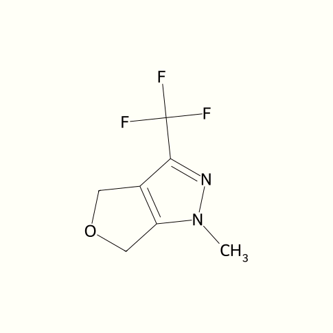 Cn1nc(C(F)(F)F)c2c1COC2